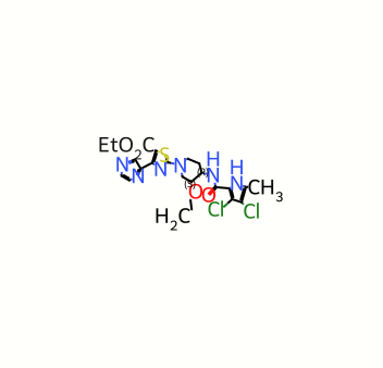 C=CCO[C@H]1CN(c2nc(-c3cnccn3)c(C(=O)OCC)s2)CC[C@H]1NC(=O)c1[nH]c(C)c(Cl)c1Cl